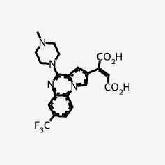 CN1CCN(c2nc3cc(C(F)(F)F)ccc3n3cc(/C(=C\C(=O)O)C(=O)O)cc23)CC1